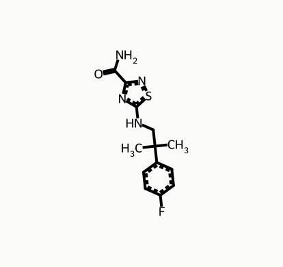 CC(C)(CNc1nc(C(N)=O)ns1)c1ccc(F)cc1